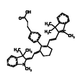 CN1/C(=C/C=C2\CCCC(/C=C/C3=[N+](C)c4ccccc4C3(C)C)=C2c2ccc(CCC(=O)O)cc2)C(C)(C)c2ccccc21